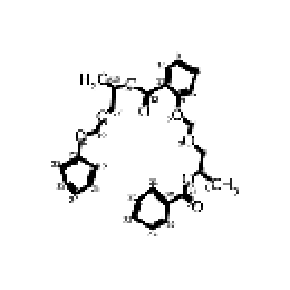 CC(COCOc1ccccc1C(=O)OC(C)COCOc1ccccc1)OC(=O)c1ccccc1